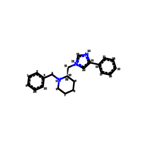 c1ccc(CN2CCCC[C@H]2Cn2cnc(-c3ccccc3)c2)cc1